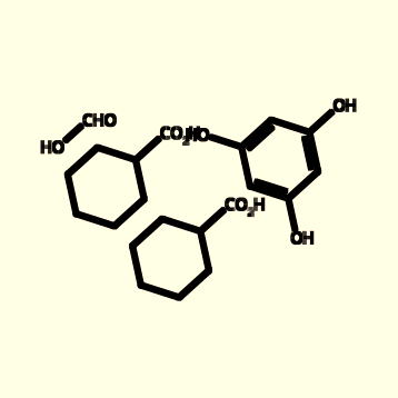 O=C(O)C1CCCCC1.O=C(O)C1CCCCC1.O=CO.Oc1cc(O)cc(O)c1